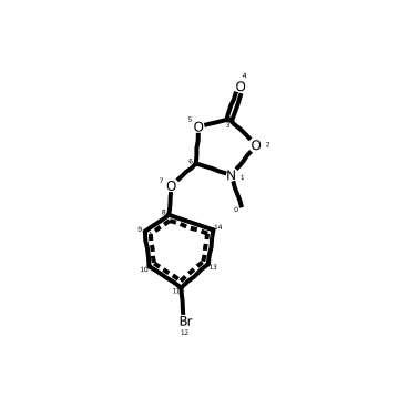 CN1OC(=O)OC1Oc1ccc(Br)cc1